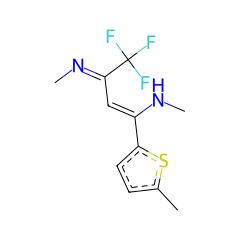 C/N=C(\C=C(/NC)c1ccc(C)s1)C(F)(F)F